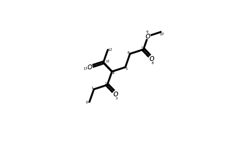 CCC(=O)C(CCC(=O)OC)C(C)=O